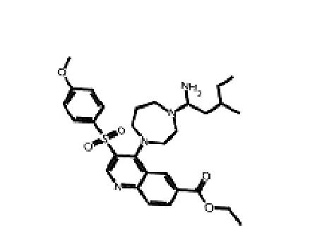 CCOC(=O)c1ccc2ncc(S(=O)(=O)c3ccc(OC)cc3)c(N3CCCN(C(N)CC(C)CC)CC3)c2c1